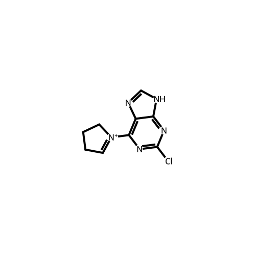 Clc1nc([N+]2=CCCC2)c2nc[nH]c2n1